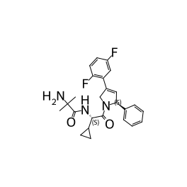 CC(C)(N)C(=O)N[C@H](C(=O)N1CC(c2cc(F)ccc2F)=C[C@H]1c1ccccc1)C1CC1